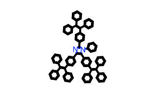 c1ccc(C(=C(c2ccccc2)c2ccc(-c3nc(-c4ccc(C(=C(c5ccccc5)c5ccccc5)c5ccccc5)cc4)n(-c4ccccc4)c3-c3ccc(C(=C(c4ccccc4)c4ccccc4)c4ccccc4)cc3)cc2)c2ccccc2)cc1